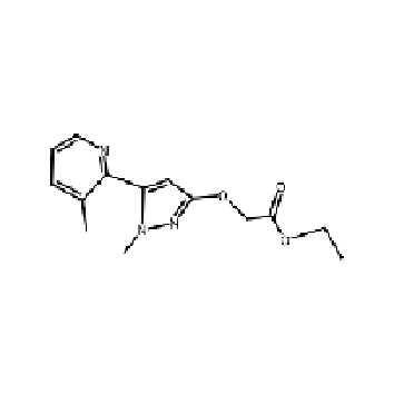 CCOC(=O)COc1cc(-c2ncccc2C)n(C)n1